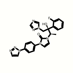 C[C@@H](n1ccn(-c2ccc(-n3ccnn3)cc2)c1=O)[C@](O)(Cn1cncn1)c1ccccc1F